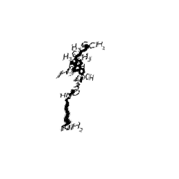 CC(C)CCC[C@@H](C)[C@H]1CC[C@H]2[C@@H]3CC=C4C[C@@H](OC(=O)CSSCC(=O)NCCCCCCCCN)CC[C@]4(C)[C@H]3CC[C@]12C.Cl